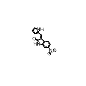 O=C1Nc2cc([N+](=O)[O-])ccc2/C1=C/c1ccc[nH]1